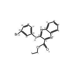 CCOC(=O)c1nc2ccccc2nc1Sc1cccc(Br)c1